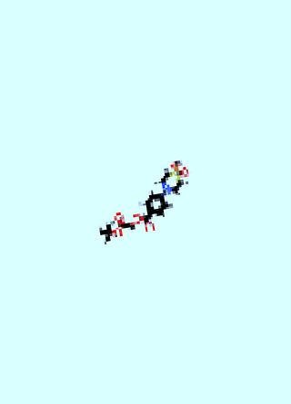 CC(C)(C)OC(=O)COC(=O)c1ccc(N2CCS(=O)(=O)CC2)cc1